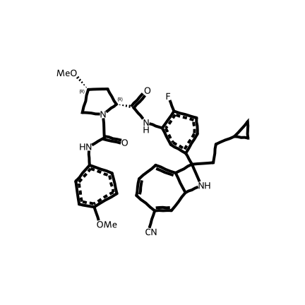 COc1ccc(NC(=O)N2C[C@H](OC)C[C@@H]2C(=O)Nc2cc(C3(CCC4CC4)NC4C=C(C#N)C=CC=C43)ccc2F)cc1